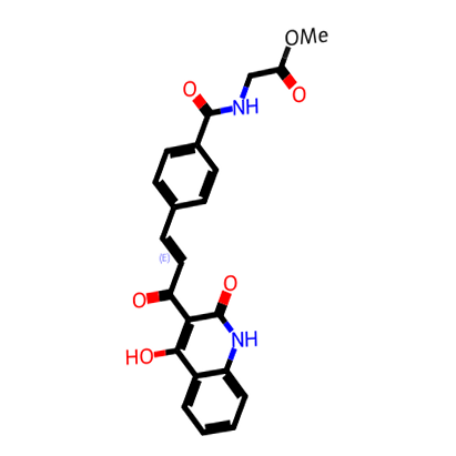 COC(=O)CNC(=O)c1ccc(/C=C/C(=O)c2c(O)c3ccccc3[nH]c2=O)cc1